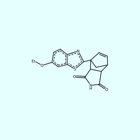 CCOc1ccc2nc(C34C=CC(C3)C3C(=O)NC(=O)C34)sc2c1